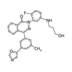 Cc1cc(-c2cnco2)cc(-c2nn(-c3cc(NCCCO)ccc3F)c(=O)c3ccccc23)c1